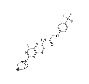 Cc1nc(N2CC3CC2CN3)nc2ncc(NC(=O)COc3ccc(C(F)(F)F)cc3)nc12